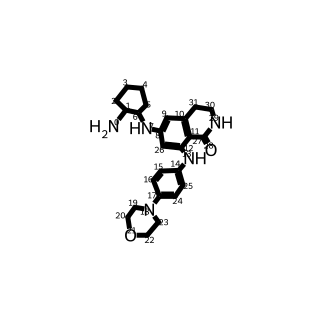 NC1CCCCC1Nc1cc2c(c(Nc3ccc(N4CCOCC4)cc3)c1)C(=O)NCC2